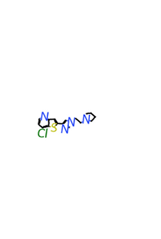 Clc1ccnc2cc(-c3cn(CCN4CCCC4)cn3)sc12